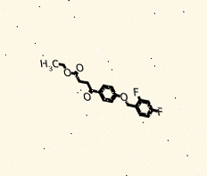 CCOC(=O)CCC(=O)c1ccc(OCc2ccc(F)cc2F)cc1